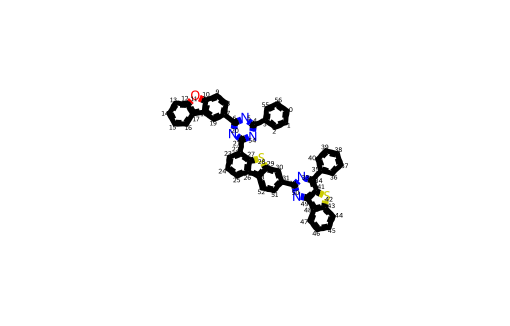 c1ccc(-c2nc(-c3ccc4oc5ccccc5c4c3)nc(-c3cccc4c3sc3cc(-c5nc(-c6ccccc6)c6sc7ccccc7c6n5)ccc34)n2)cc1